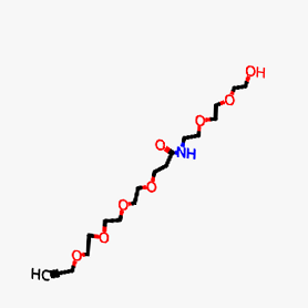 C#CCOCCOCCOCCOCCC(=O)NCCOCCOCCO